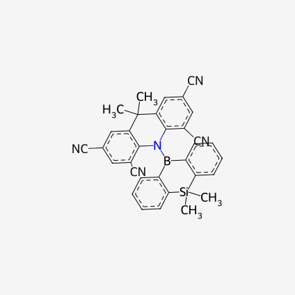 CC1(C)c2cc(C#N)cc(C#N)c2N(B2c3ccccc3[Si](C)(C)c3ccccc32)c2c(C#N)cc(C#N)cc21